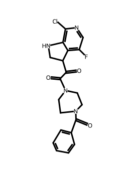 O=C(C(=O)N1CCN(C(=O)c2ccccc2)CC1)C1CNc2c(Cl)ncc(F)c21